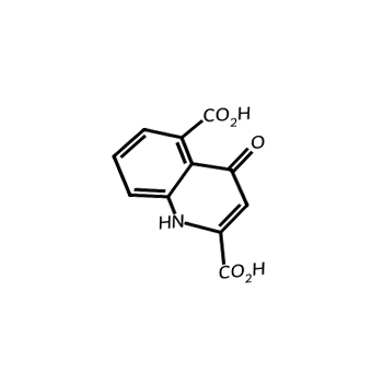 O=C(O)c1cc(=O)c2c(C(=O)O)cccc2[nH]1